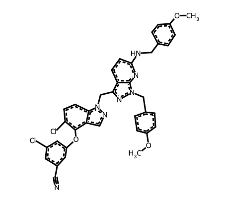 COc1ccc(CNc2ccc3c(Cn4ncc5c(Oc6cc(Cl)cc(C#N)c6)c(Cl)ccc54)nn(Cc4ccc(OC)cc4)c3n2)cc1